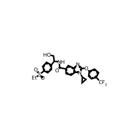 CCS(=O)(=O)c1ccc(C(CO)NC(=O)c2ccc3c(c2)nc(Oc2ccc(C(F)(F)F)cc2)n3C2CC2)cc1